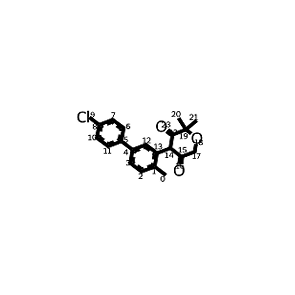 Cc1ccc(-c2ccc(Cl)cc2)cc1C1C(=O)COC(C)(C)C1=O